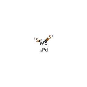 [Pd].[S]=[Mo]=[S]